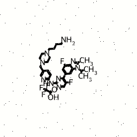 Cc1nc2c(F)cc(-c3nc(Nc4ccc(CN5CCN(CCCCN)CC5)cn4)ncc3F)cc2n1C(C)C.O=C(O)C(F)(F)F